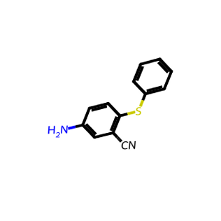 N#Cc1cc(N)ccc1Sc1ccccc1